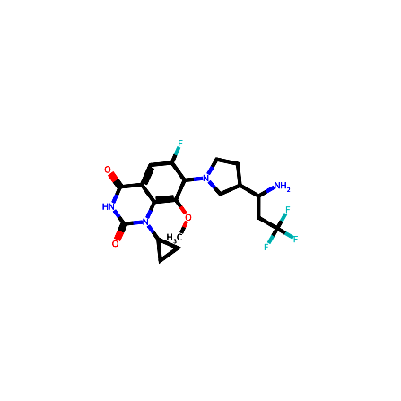 COC1=c2c(c(=O)[nH]c(=O)n2C2CC2)=CC(F)C1N1CCC(C(N)CC(F)(F)F)C1